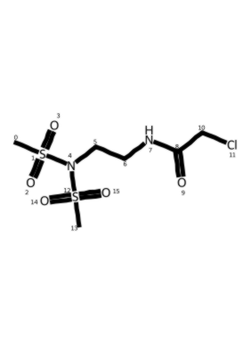 CS(=O)(=O)N(CCNC(=O)CCl)S(C)(=O)=O